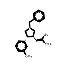 COc1cccc([C@@H]2CN(Cc3ccccc3)C[C@H]2C=C(C(=O)O)C(C)(C)C)c1